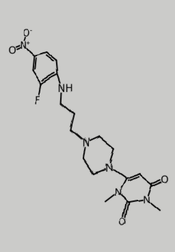 Cn1c(N2CCN(CCCNc3ccc([N+](=O)[O-])cc3F)CC2)cc(=O)n(C)c1=O